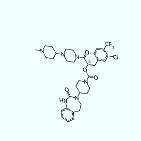 CN1CCC(N2CCN(C(=O)[C@@H](Cc3ccc(C(F)(F)F)c(Cl)c3)OC(=O)N3CCC(N4CCc5ccccc5NC4=O)CC3)CC2)CC1